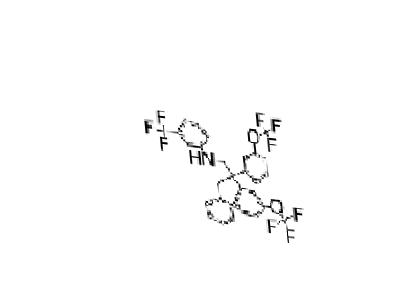 FC(F)(F)Oc1cccc(C(CNc2cccc(C(F)(F)F)c2)(Cc2ccccc2)c2cccc(OC(F)(F)F)c2)c1